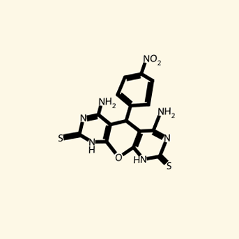 Nc1nc(=S)[nH]c2c1C(c1ccc([N+](=O)[O-])cc1)c1c(N)nc(=S)[nH]c1O2